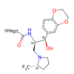 CCCCCCCC(=O)N[C@H](CN1CCC[C@@H]1C(F)(F)F)[C@H](O)c1ccc2c(c1)OCCO2